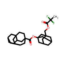 CC(F)(F)C(=O)OCC12CC3CC(C1)CC(OC(=O)C14CCC56CC7CC(C5)C(C1)C(C7)C6C4)(C3)C2